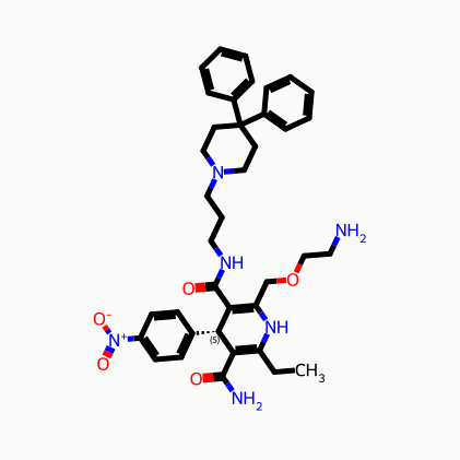 CCC1=C(C(N)=O)[C@H](c2ccc([N+](=O)[O-])cc2)C(C(=O)NCCCN2CCC(c3ccccc3)(c3ccccc3)CC2)=C(COCCN)N1